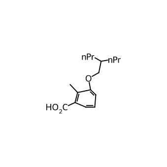 CCCC(CCC)COc1cccc(C(=O)O)c1C